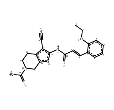 CCOc1ccccc1C=CC(=O)Nc1sc2c(c1C#N)CCN(C(O)=S)C2